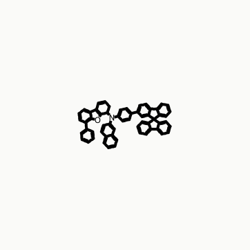 C1=Cc2c(oc3c(-c4ccccc4)cccc23)C(N(c2ccc(-c3ccc4c(c3)C3(c5ccccc5-c5ccccc53)c3ccccc3-4)cc2)c2ccc3ccccc3c2)C1